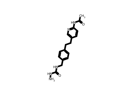 CC(=O)Nc1ccc(CCc2ccc(CNC(=O)NN)cc2)cn1